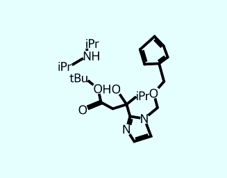 CC(C)C(O)(CC(=O)OC(C)(C)C)c1nccn1COCc1ccccc1.CC(C)NC(C)C